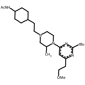 COCCc1cc(N2CCN(CCC3CCC(NC(C)=O)CC3)CC2C)nc(C(C)(C)C)n1